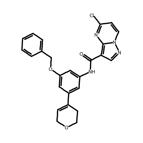 O=C(Nc1cc(OCc2ccccc2)cc(C2=CCOCC2)c1)c1cnn2ccc(Cl)nc12